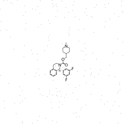 CN1CCC(COC(=O)N2CCc3ccccc3[C@H]2c2cc(F)cc(F)c2)CC1